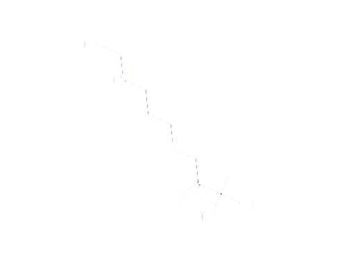 CCNCCCOCC(=O)C(C)(C)C